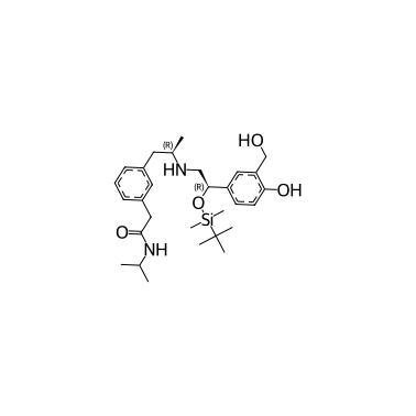 CC(C)NC(=O)Cc1cccc(C[C@@H](C)NC[C@H](O[Si](C)(C)C(C)(C)C)c2ccc(O)c(CO)c2)c1